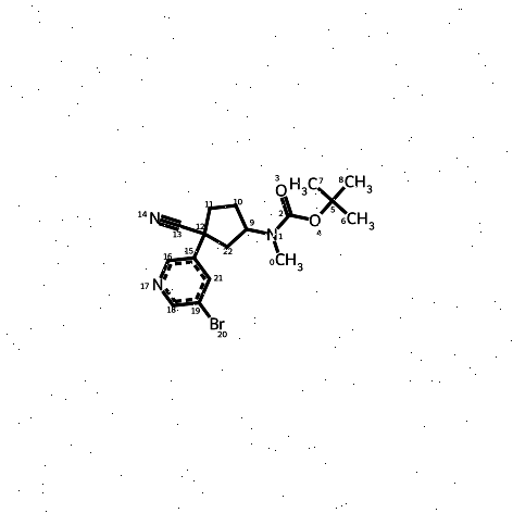 CN(C(=O)OC(C)(C)C)C1CCC(C#N)(c2cncc(Br)c2)C1